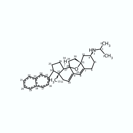 CC(C)N[C@H]1CCC2=CC3=CC[C@]4(C)C(c5ccc6ccccc6c5)CC[C@H]4C34CC[C@]2(C1)O4